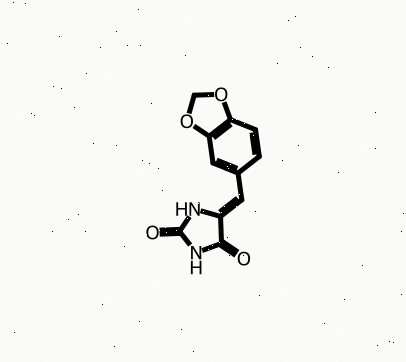 O=C1NC(=O)C(=Cc2ccc3c(c2)OCO3)N1